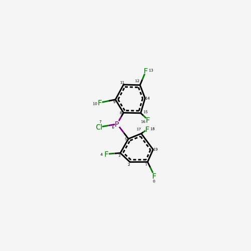 Fc1cc(F)c(P(Cl)c2c(F)cc(F)cc2F)c(F)c1